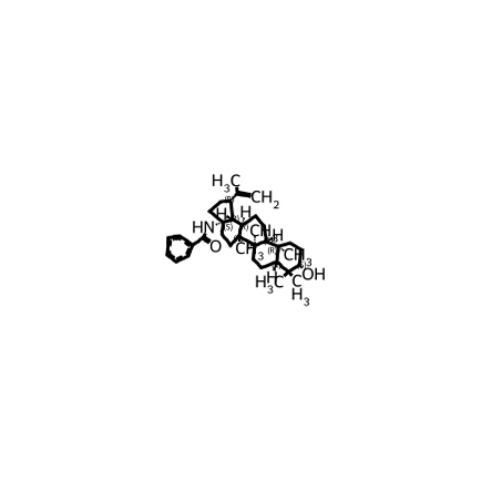 C=C(C)[C@@H]1CC[C@]2(NC(=O)c3ccccc3)CC[C@]3(C)[C@H](CC[C@@H]4[C@@]5(C)CC[C@H](O)C(C)(C)[C@@H]5CC[C@]43C)[C@@H]12